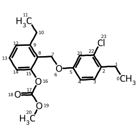 CCc1ccc(OCc2c(CC)cccc2OC(=O)OC)cc1Cl